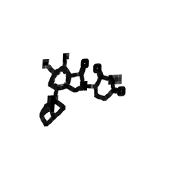 O=C1CCC(N2Cc3c(N4CC5CC(C4)N5)cc(F)c(F)c3C2=O)C(=O)N1